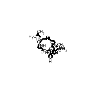 CCn1c(-c2cc(C3(O)CCNCC3)cnc2[C@H](C)OC)c2c3cc(ccc31)-c1csc(n1)C[C@H](NCC1[C@@H](C)[C@H]1C)C(=O)N1CCC[C@H](N1)C(=O)OCC(C)(C)C2